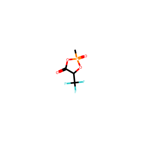 CP1(=O)OC(=O)C(C(F)(F)F)O1